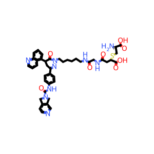 N[C@@H](CSC(CC(=O)NCC(=O)NCCCCCCN1N=C(c2ccc(NC(=O)N3Cc4ccncc4C3)cc2)CC(c2cccc3ncccc23)C1=O)C(=O)O)C(=O)O